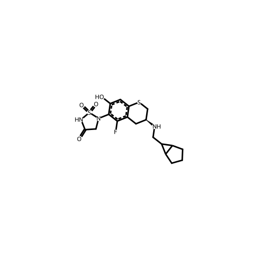 O=C1CN(c2c(O)cc3c(c2F)C[C@H](NCC2C4CCCC42)CS3)S(=O)(=O)N1